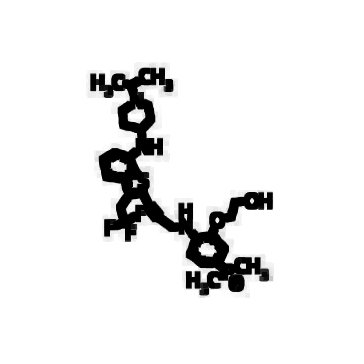 CC(C)N1CCC(Nc2cccc3c(CC(F)(F)F)c(C#CCNc4ccc(P(C)(C)=O)cc4OCCO)sc23)CC1